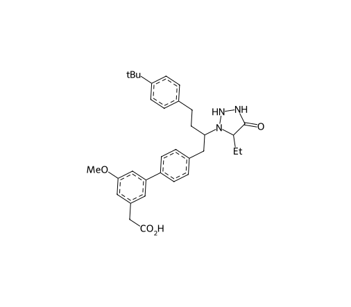 CCC1C(=O)NNN1C(CCc1ccc(C(C)(C)C)cc1)Cc1ccc(-c2cc(CC(=O)O)cc(OC)c2)cc1